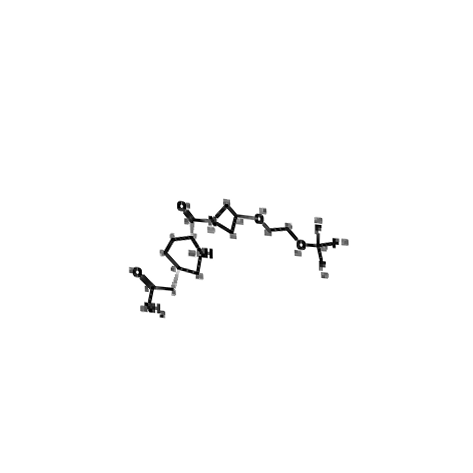 NC(=O)C[C@@H]1CC[C@H](C(=O)N2CC(OCCOC(F)(F)F)C2)NC1